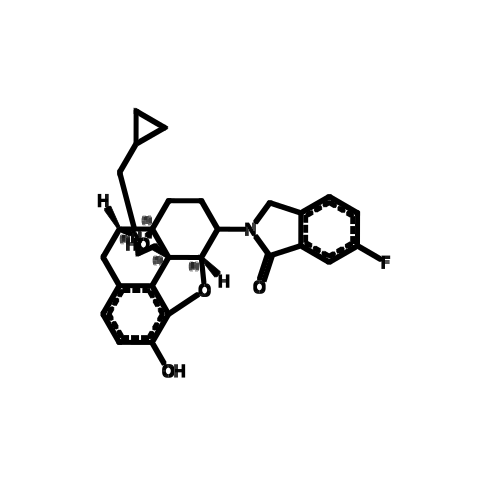 O=C1c2cc(F)ccc2CN1C1CC[C@@]2(O)[C@H]3Cc4ccc(O)c5c4[C@@]2(CCN3CC2CC2)[C@H]1O5